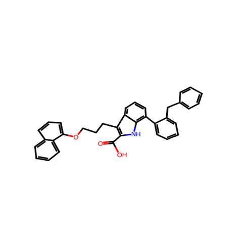 O=C(O)c1[nH]c2c(-c3ccccc3Cc3ccccc3)cccc2c1CCCOc1cccc2ccccc12